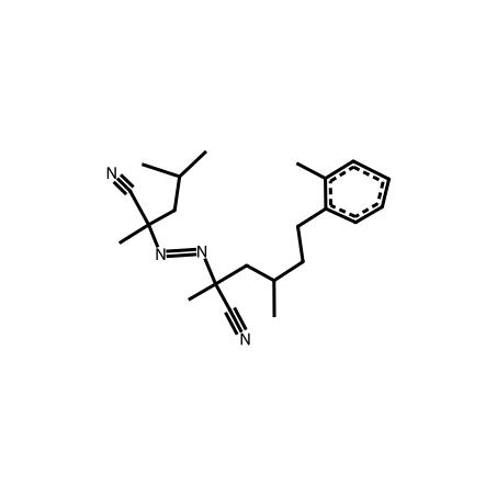 Cc1ccccc1CCC(C)CC(C)(C#N)N=NC(C)(C#N)CC(C)C